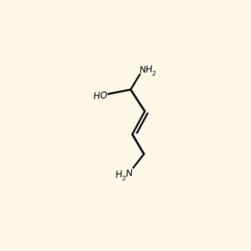 NCC=CC(N)O